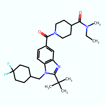 CCN(C)C(=O)C1CCN(C(=O)c2ccc3c(c2)nc(C(C)(C)C)n3CC2CCC(F)(F)CC2)CC1